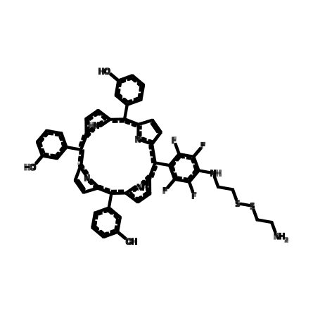 NCCSSCCNc1c(F)c(F)c(-c2c3nc(c(-c4cccc(O)c4)c4ccc([nH]4)c(-c4cccc(O)c4)c4nc(c(-c5cccc(O)c5)c5ccc2[nH]5)C=C4)C=C3)c(F)c1F